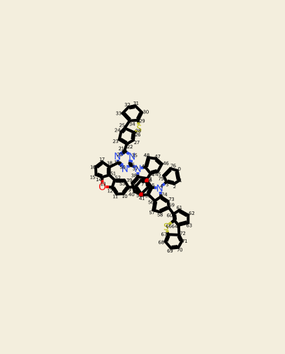 c1ccc(-n2c3ccc(-c4ccc5oc6cccc(-c7nc(-c8ccc9c(c8)sc8ccccc89)nc(-n8c9ccccc9c9ccccc98)n7)c6c5c4)cc3c3ccc(-c4cccc5c4sc4ccccc45)cc32)cc1